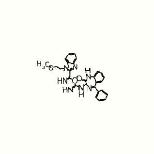 COCCn1c(C(=N)OC(=N)NC2N=C(c3ccccc3)c3ccccc3NC2=O)nc2ccccc21